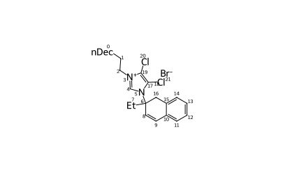 CCCCCCCCCCCC[n+]1cn(C2(CC)C=Cc3ccccc3C2)c(Cl)c1Cl.[Br-]